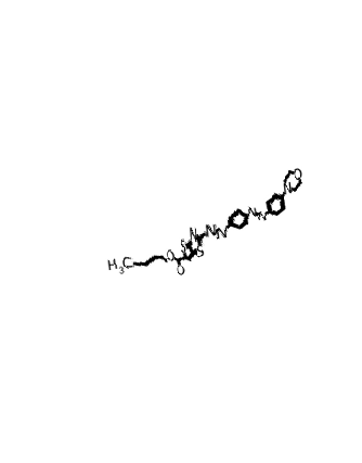 CCCCOC(=O)c1cc2sc(N=Nc3ccc(N=Nc4ccc(N5CCOCC5)cc4)cc3)nc2s1